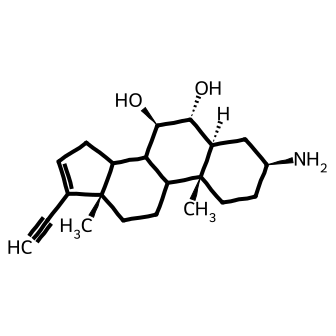 C#CC1=CCC2C3C(CC[C@]12C)[C@@]1(C)CC[C@H](N)C[C@@H]1[C@@H](O)[C@@H]3O